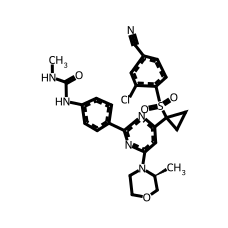 CNC(=O)Nc1ccc(-c2nc(N3CCOC[C@@H]3C)cc(C3(S(=O)(=O)c4ccc(C#N)cc4Cl)CC3)n2)cc1